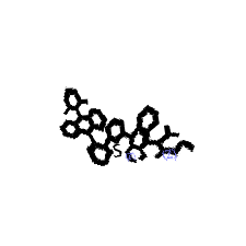 C=C/C=C(/C)C(=C(C)C)c1c(C=C)c(/C=C\C)c(-c2cccc3c2sc2cccc(-c4c5ccccc5c(-c5c(C)cccc5C)c5ccccc45)c23)c2ccccc12